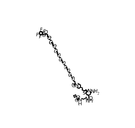 CCCN(CCCNC(=O)OC1CCC1)C(=O)C1=Cc2sc(CCC3CCN(C(=O)CCOCCOCCOCCOCCOCCOCCOCCOCCOCCOCCOCCC(=O)Oc4c(F)c(F)cc(F)c4F)CC3)cc2N=C(N)C1